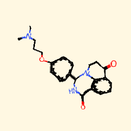 CN(C)CCCOc1ccc(C2NC(=O)c3cccc4c3N2CCC4=O)cc1